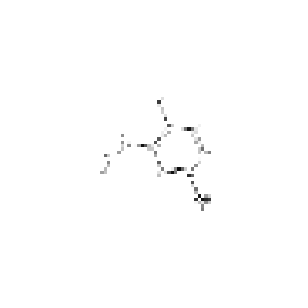 Cc1ccc(O)cc1OC(F)(F)F